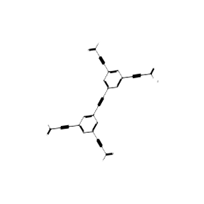 O=C(O)C#Cc1cc(C#CC(=O)O)cc(C#Cc2cc(C#CC(=O)O)cc(C#CC(=O)O)c2)c1